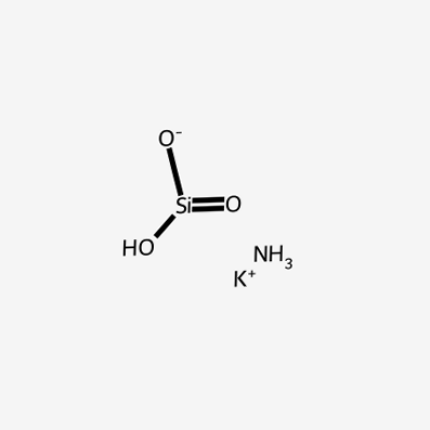 N.O=[Si]([O-])O.[K+]